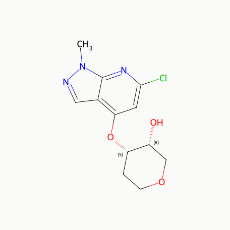 Cn1ncc2c(O[C@H]3CCOC[C@H]3O)cc(Cl)nc21